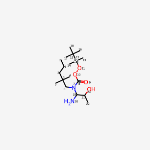 CCCC(C)(C)CN(C(=O)OO[Si](C)(C)C(C)(C)C)C(N)C(C)O